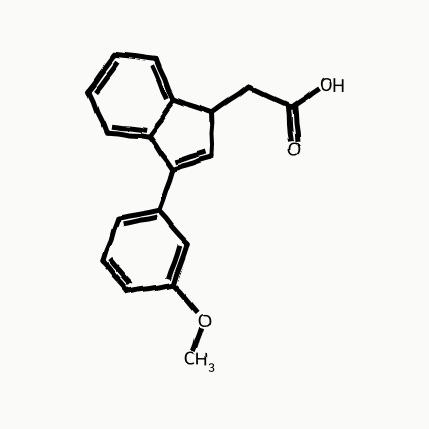 COc1cccc(C2=CC(CC(=O)O)c3ccccc32)c1